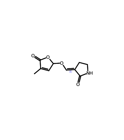 CC1=CC(O/C=C2\CCNC2=O)OC1=O